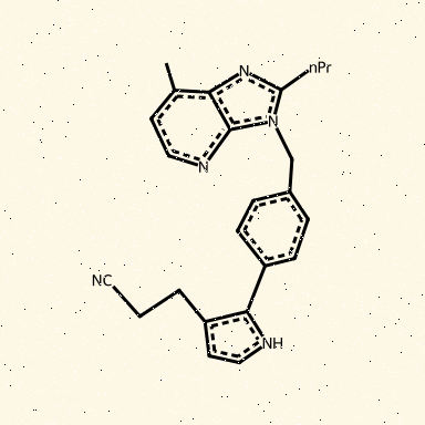 CCCc1nc2c(C)ccnc2n1Cc1ccc(-c2[nH]ccc2CCC#N)cc1